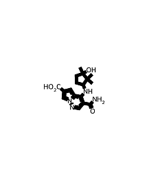 CC1(O)CCC(Nc2c(C(N)=O)cnn3cc(C(=O)O)cc23)C1(C)C